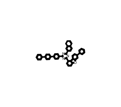 C1=Cc2ccc(-c3nc(-c4ccc(-c5ccc(-c6ccccc6)cc5)cc4)nc(-c4cccc5oc6cc(-c7ccccc7)ccc6c45)n3)cc2CC1